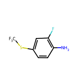 Nc1ccc(SC(F)(F)F)cc1F